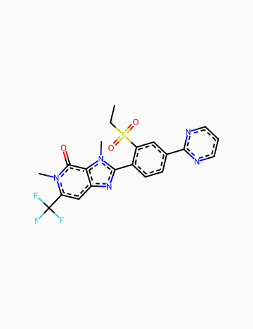 CCS(=O)(=O)c1cc(-c2ncccn2)ccc1-c1nc2cc(C(F)(F)F)n(C)c(=O)c2n1C